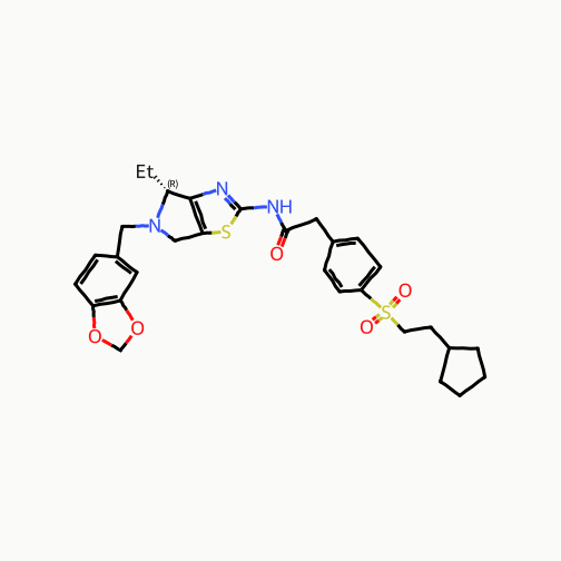 CC[C@@H]1c2nc(NC(=O)Cc3ccc(S(=O)(=O)CCC4CCCC4)cc3)sc2CN1Cc1ccc2c(c1)OCO2